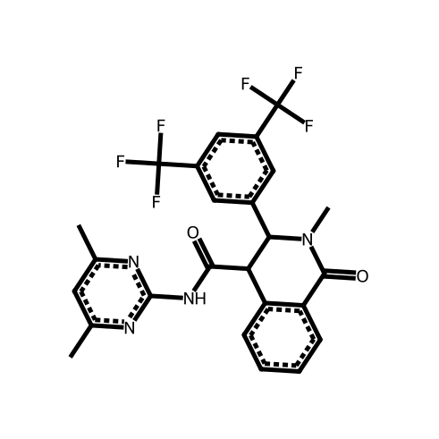 Cc1cc(C)nc(NC(=O)C2c3ccccc3C(=O)N(C)C2c2cc(C(F)(F)F)cc(C(F)(F)F)c2)n1